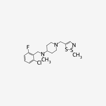 CN(Cc1c(F)cccc1Cl)C1CCN(CC2=CN=S(C)S2)CC1